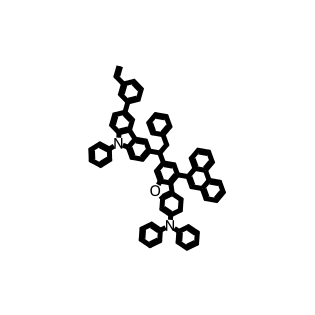 C=Cc1cccc(-c2ccc3c(c2)c2cc(C(Cc4ccccc4)c4cc(-c5cc6ccccc6c6ccccc56)c5c6c(oc5c4)C=C(N(c4ccccc4)c4ccccc4)CC6)ccc2n3-c2ccccc2)c1